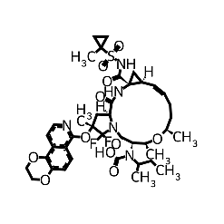 CCC(C)N(C(=O)O)[C@@H]1C(=O)N2[C@@H](C[C@@](C)(Oc3nccc4c5c(ccc34)OCCO5)C2(F)F)C(=O)N[C@]2(C(=O)NS(=O)(=O)C3(C)CC3)C[C@H]2/C=C\CC[C@@H](C)O[C@H]1C